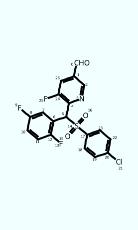 O=Cc1cnc(C(c2cc(F)ccc2F)S(=O)(=O)c2ccc(Cl)cc2)c(F)c1